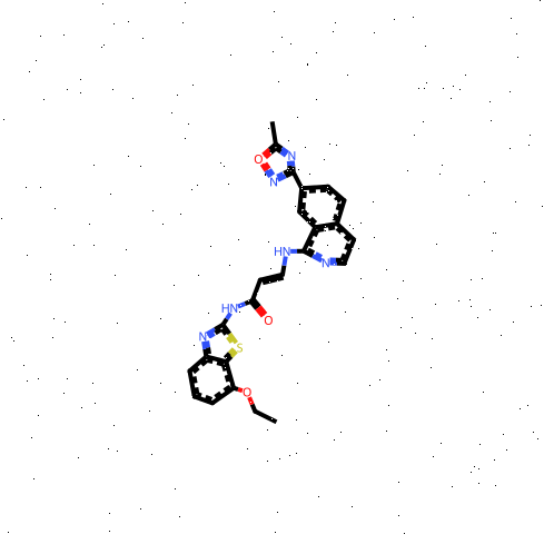 CCOc1cccc2nc(NC(=O)C=CNc3nccc4ccc(-c5noc(C)n5)cc34)sc12